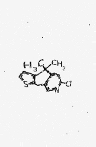 CC1(C)c2cc(Cl)ncc2-c2sccc21